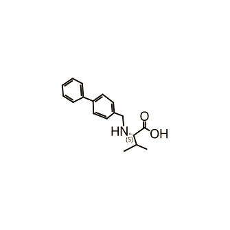 CC(C)[C@H](NCc1ccc(-c2ccccc2)cc1)C(=O)O